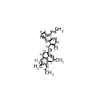 C=C/C=C(/c1cc(C)nc2c(OCc3c(Cl)cncc3Sc3nccn3CCCC)cccc12)N(C)C